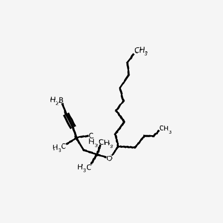 BC#CC(C)(C)CC(C)(C)OC(CCCC)CCCCCCCC